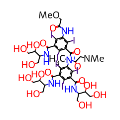 CNCC(=O)[N+](C)(C(=O)c1c(I)c(NC(=O)COC)c(I)c(C(=O)NC(CO)C(O)CO)c1I)c1c(I)c(C(=O)NC(CO)C(O)CO)c(I)c(C(=O)NC(CO)C(O)CO)c1I